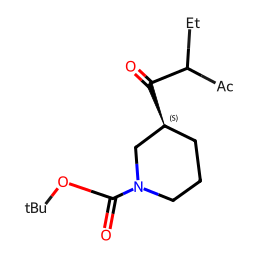 CCC(C(C)=O)C(=O)[C@H]1CCCN(C(=O)OC(C)(C)C)C1